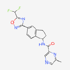 Cc1cncc(C(=O)NC2CCc3cc(-c4noc(C(F)F)n4)ccc32)n1